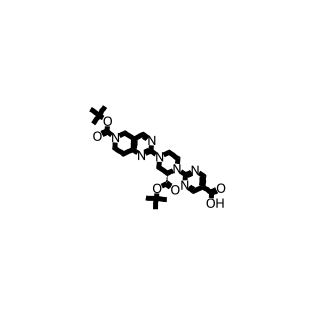 CC(C)(C)OC(=O)[C@@H]1CN(c2ncc3c(n2)CCN(C(=O)OC(C)(C)C)C3)CCN1c1ncc(C(=O)O)cn1